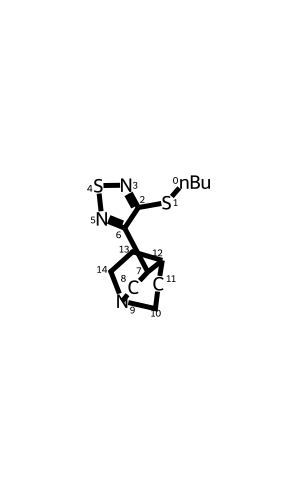 CCCCSc1nsnc1C1CN2CCC1CC2